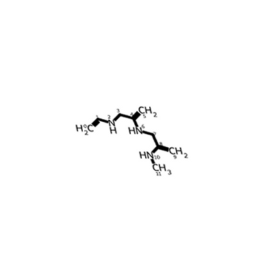 C=CNCC(=C)NCC(=C)NC